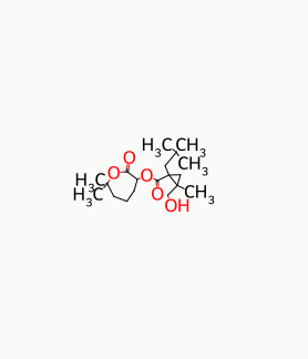 CC(C)(C)CC1(C(=O)OC2CCCC(C)(C)OC2=O)CC1(C)CO